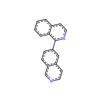 [c]1ccc2ccnc(-c3ccc4cnccc4c3)c2c1